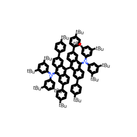 CC(C)(C)c1ccc(-c2ccc3c(N(c4cc(C(C)(C)C)cc(C(C)(C)C)c4)c4cc(C(C)(C)C)cc(C(C)(C)C)c4)c4cc(-c5ccc(C(C)(C)C)cc5)ccc4c(-c4c5cc(-c6ccc(C(C)(C)C)cc6)ccc5c(N(c5cc(C(C)(C)C)cc(C(C)(C)C)c5)c5cc(C(C)(C)C)cc(C(C)(C)C)c5)c5cc(-c6ccc(C(C)(C)C)cc6)ccc45)c3c2)cc1